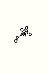 c1ccc(CN(Cc2ccccc2)c2nc3ccccc3c3c2ncn3CCCCSc2ccccc2)cc1